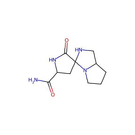 NC(=O)C1CC2(NCC3CCCN32)C(=O)N1